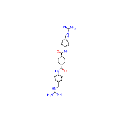 N=C(N)NCc1ccc(NC(=O)[C@H]2CC[C@H](C(=O)Nc3ccc(CNC(=N)N)cc3)CC2)cc1